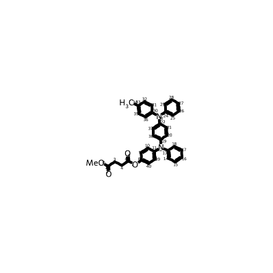 COC(=O)CCC(=O)Oc1ccc(N(c2ccccc2)c2ccc(N(c3ccccc3)c3ccc(C)cc3)cc2)cc1